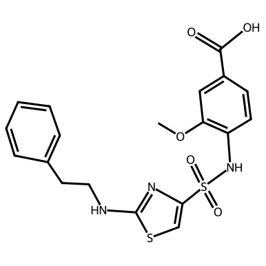 COc1cc(C(=O)O)ccc1NS(=O)(=O)c1csc(NCCc2ccccc2)n1